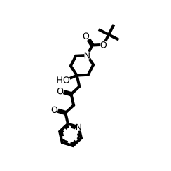 CC(C)(C)OC(=O)N1CCC(O)(CC(=O)CC(=O)c2ccccn2)CC1